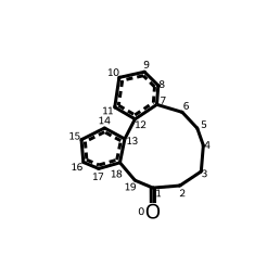 O=C1CCCCCc2ccccc2-c2ccccc2C1